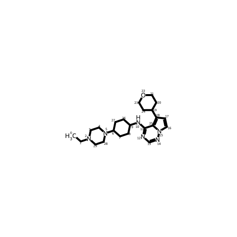 CCN1CCN(C2CCC(Nc3ncnn4ccc(C5CCOCC5)c34)CC2)CC1